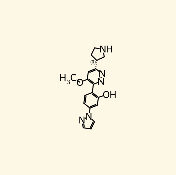 COc1cc([C@@H]2CCNC2)nnc1-c1ccc(-n2cccn2)cc1O